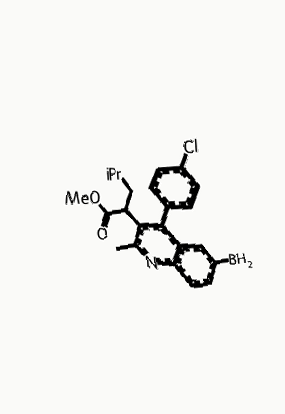 Bc1ccc2nc(C)c(C(CC(C)C)C(=O)OC)c(-c3ccc(Cl)cc3)c2c1